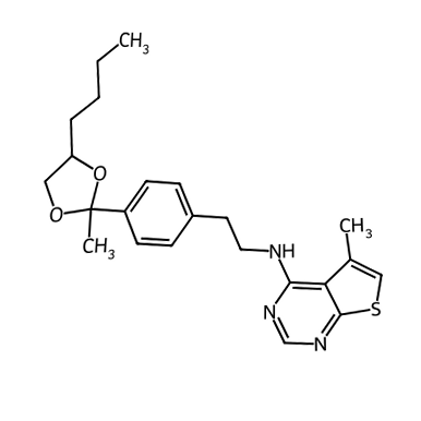 CCCCC1COC(C)(c2ccc(CCNc3ncnc4scc(C)c34)cc2)O1